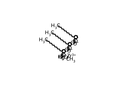 CCCCCCCCCCCCc1ccccc1CS(=O)(=O)[O-].CCCCCCCCCCCCc1ccccc1CS(=O)(=O)[O-].CCCCCCCCCCCCc1ccccc1CS(=O)(=O)[O-].C[CH](C)[Zr+3]